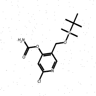 CC(C)(C)[Si](C)(C)OCc1cnc(Cl)cc1OC(N)=O